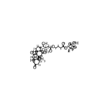 CC(CCC(=O)OCCCC(=O)OCC(F)(F)S(=O)(=O)O)[C@H]1CC[C@H]2[C@@H]3C(=O)C[C@@H]4CC(=O)CC[C@]4(C)[C@H]3CC(=O)[C@]12C